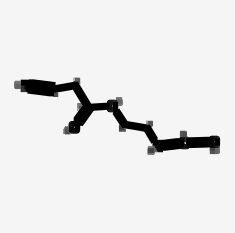 N#CCC(=O)OCCN=C=O